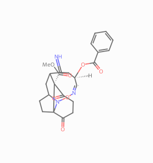 COC(=O)[C@]12C(=O)CCC(=O)C13CCC1CC2C(=N)C[C@@H](OC(=O)c2ccccc2)/[C]=N\ON13